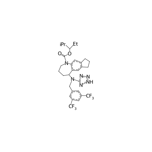 CCC(OC(=O)N1CCCC(N(Cc2cc(C(F)(F)F)cc(C(F)(F)F)c2)c2nn[nH]n2)c2cc3c(cc21)CCC3)C(C)C